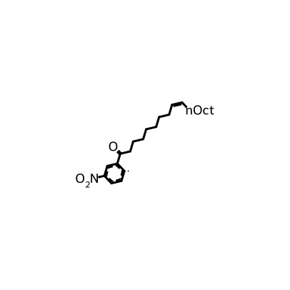 CCCCCCCC/C=C\CCCCCCCC(=O)c1[c]ccc([N+](=O)[O-])c1